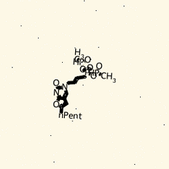 CCCCCc1cc2cn(C/C=C/CP(=O)(O[PH](C)=O)O[PH](C)=O)c(=O)nc2o1